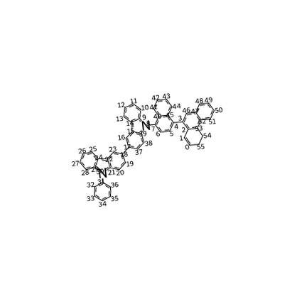 C1=Cc2c(-c3ccc(-n4c5ccccc5c5cc(-c6ccc7c(c6)c6ccccc6n7-c6ccccc6)ccc54)c4ccccc34)cc3ccccc3c2CC1